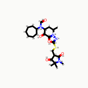 CC(C)CC(C(=O)c1nnc(SCC2C(=O)N(C)C(C)(C)C2=O)o1)N(C=O)C1CCCCCC1